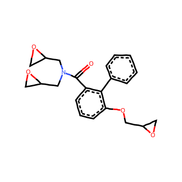 O=C(c1cccc(OCC2CO2)c1-c1ccccc1)N(CC1CO1)CC1CO1